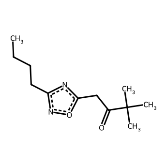 CCCCc1noc(CC(=O)C(C)(C)C)n1